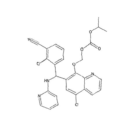 CC(C)OC(=O)OCOc1c(C(Nc2ccccn2)c2cccc(C#N)c2Cl)cc(Cl)c2cccnc12